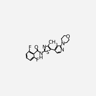 Cc1nc(NC(=O)c2c(F)cccc2F)sc1-c1ccnc(N2CCOCC2)c1